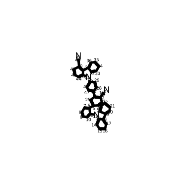 N#Cc1ccc(-c2ccccc2-n2c3ccccc3c3ccccc32)cc1-c1ccc(-n2c3ccccc3c3c(C#N)cccc32)cc1